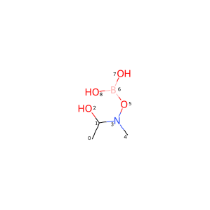 CC(O)N(C)OB(O)O